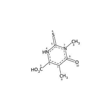 Cc1c(C(=O)O)[nH]c(=S)n(C)c1=O